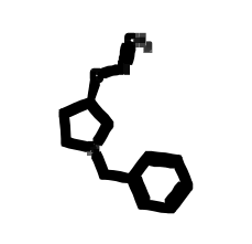 C=NO[C@@H]1CCN(Cc2ccccc2)C1